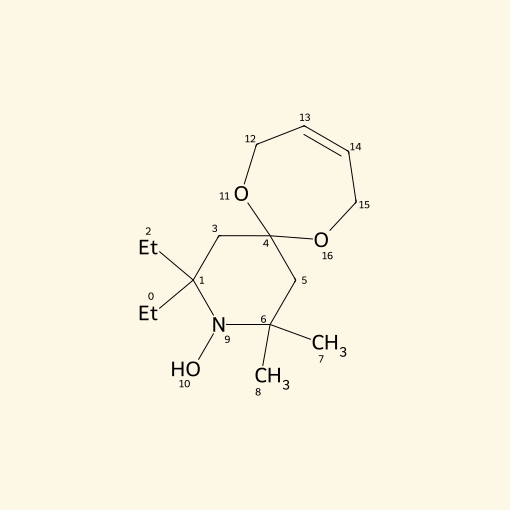 CCC1(CC)CC2(CC(C)(C)N1O)OCC=CCO2